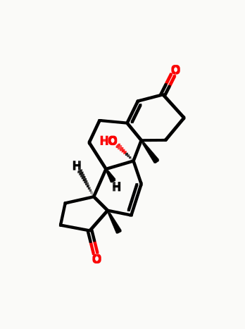 C[C@]12CCC(=O)C=C1CC[C@H]1[C@@H]3CCC(=O)[C@@]3(C)C=C[C@@]12O